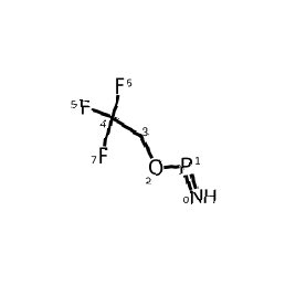 N=POCC(F)(F)F